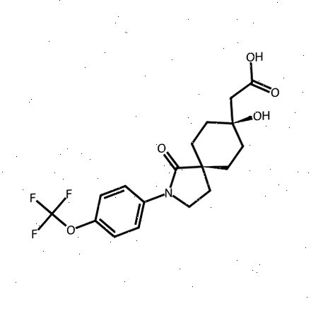 O=C(O)C[C@]1(O)CC[C@]2(CCN(c3ccc(OC(F)(F)F)cc3)C2=O)CC1